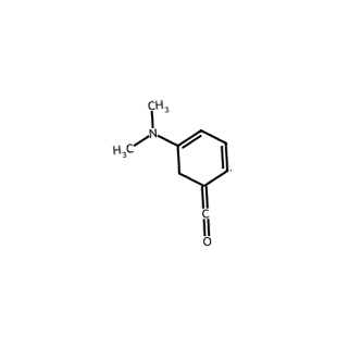 CN(C)C1=CC=[C]C(=C=O)C1